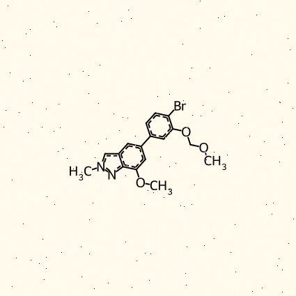 COCOc1cc(-c2cc(OC)c3nn(C)cc3c2)ccc1Br